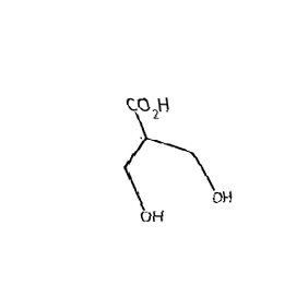 O=C(O)[C](CO)CO